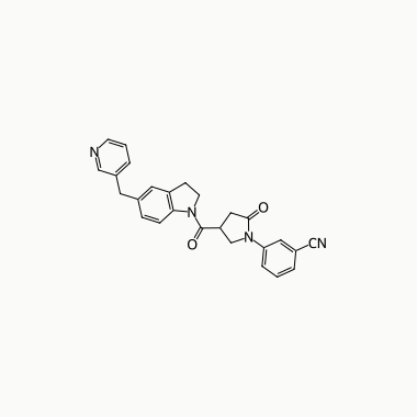 N#Cc1cccc(N2CC(C(=O)N3CCc4cc(Cc5cccnc5)ccc43)CC2=O)c1